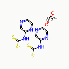 S=C([S-])Nc1cnccn1.S=C([S-])Nc1cnccn1.[O]=[Mo+2]=[O]